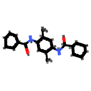 Cc1cc(NC(=O)c2ccccc2)c(C)cc1NC(=O)c1ccccc1